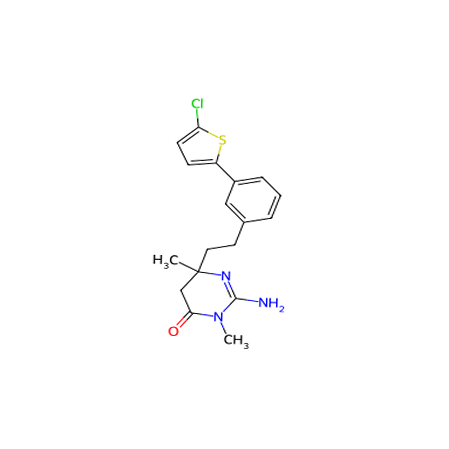 CN1C(=O)CC(C)(CCc2cccc(-c3ccc(Cl)s3)c2)N=C1N